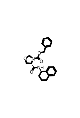 O=C(N[C@@H]1CCCc2ccccc21)[C@@H]1COCN1C(=O)OCc1ccccc1